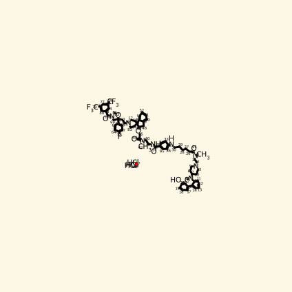 CN(CCN1CCC(N(C(=O)O)c2ccccc2-c2ccccc2)CC1)C(=O)CCCCCNc1ccc(C(=O)NCCN(C)C(=O)CO[C@H]2Cc3ccccc3C23CCN(CC[C@@]2(c4ccc(F)cc4)CN(C(=O)c4cc(C(F)(F)F)cc(C(F)(F)F)c4)CO2)CC3)cc1.Cl.Cl.Cl